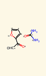 NC(N)=O.O=CC(=O)c1ccco1